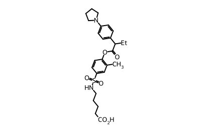 CCC(C(=O)Oc1ccc(S(=O)(=O)NCCCCC(=O)O)cc1C)c1ccc(N2CCCC2)cc1